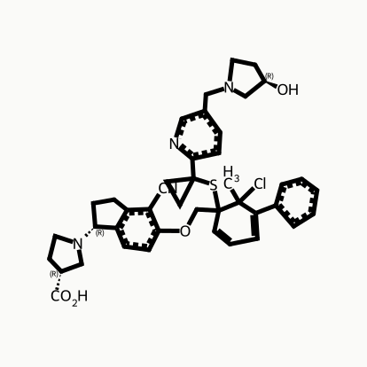 CC1(Cl)C(c2ccccc2)=CC=CC1(COc1ccc2c(c1C#N)CC[C@H]2N1CC[C@@H](C(=O)O)C1)SC1(c2ccc(CN3CC[C@@H](O)C3)cn2)CC1